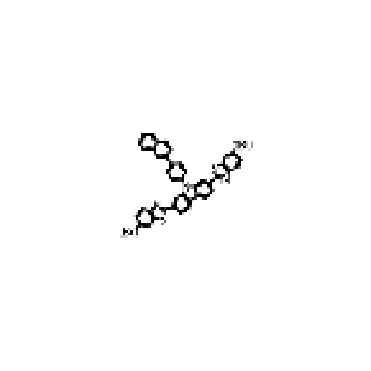 CC(C)(C)c1ccc2nc(-c3ccc4c5ccc(-c6nc7ccc(C(C)(C)C)cc7s6)cc5n(-c5ccc(-c6ccc7ccccc7c6)cc5)c4c3)sc2c1